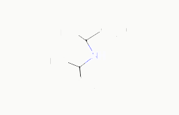 CCOC(=O)C(C)NC(C)C(=O)O